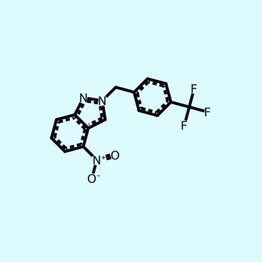 O=[N+]([O-])c1cccc2nn(Cc3ccc(C(F)(F)F)cc3)cc12